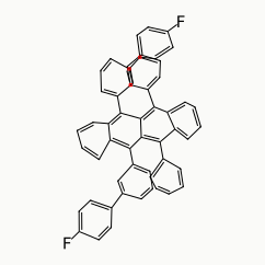 Fc1ccc(-c2cccc(-c3c4ccccc4c(-c4cccc(-c5ccc(F)cc5)c4)c4c(-c5ccccc5)c5ccccc5c(-c5ccccc5)c34)c2)cc1